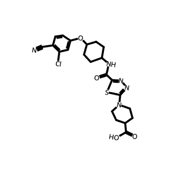 N#Cc1ccc(OC2CCC(NC(=O)c3nnc(N4CCC(C(=O)O)CC4)s3)CC2)cc1Cl